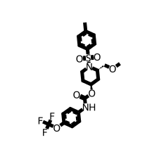 COC[C@@H]1C[C@@H](OC(=O)Nc2ccc(OC(F)(F)F)cc2)CCN1S(=O)(=O)c1ccc(C)cc1